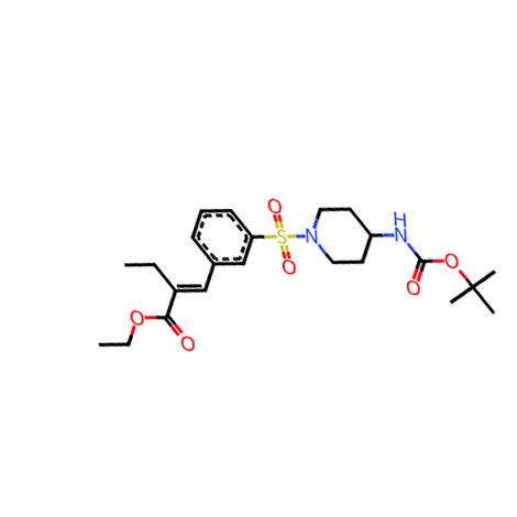 CCOC(=O)/C(=C/c1cccc(S(=O)(=O)N2CCC(NC(=O)OC(C)(C)C)CC2)c1)CC